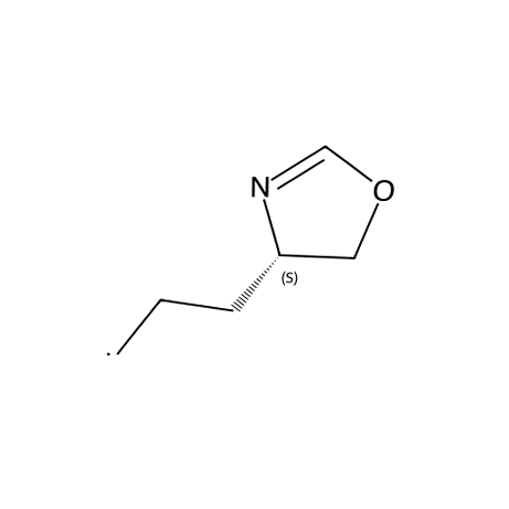 [CH2]CC[C@H]1COC=N1